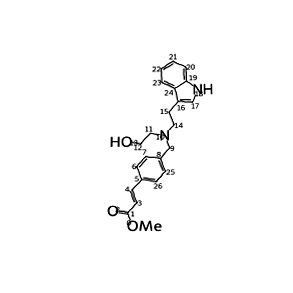 COC(=O)/C=C/c1ccc(CN(CCO)CCc2c[nH]c3ccccc23)cc1